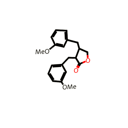 [13CH3]Oc1cccc(CC2COC(=O)C2Cc2cccc(O[13CH3])c2)c1